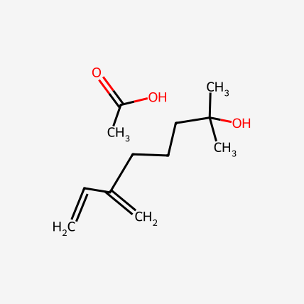 C=CC(=C)CCCC(C)(C)O.CC(=O)O